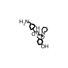 NCc1ccc(C(=O)N[C@@H](Cc2ccc(O)cc2)C(=O)N2CC[CH]CC2)cc1